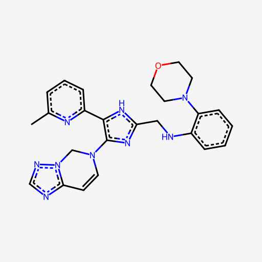 Cc1cccc(-c2[nH]c(CNc3ccccc3N3CCOCC3)nc2N2C=Cc3ncnn3C2)n1